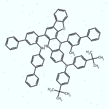 Cc1cc(-c2ccccc2)ccc1N1c2cc(N(c3ccc(C(C)(C)C)cc3)c3ccc(C(C)(C)C)cc3)ccc2Bc2c(-c3ccc(-c4ccccc4)cc3Nc3ccc(-c4ccccc4)cc3)cc3c(oc4ccccc43)c21